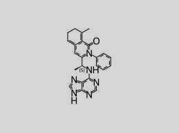 CC1=c2c(cc([C@H](C)Nc3ncnc4[nH]cnc34)n(-c3ccccc3)c2=O)=CCC1